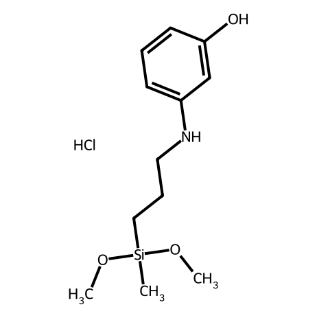 CO[Si](C)(CCCNc1cccc(O)c1)OC.Cl